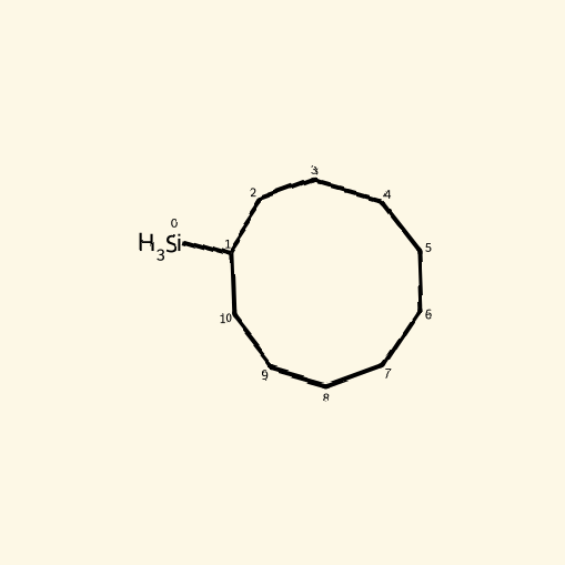 [SiH3]C1CCCCCCCCC1